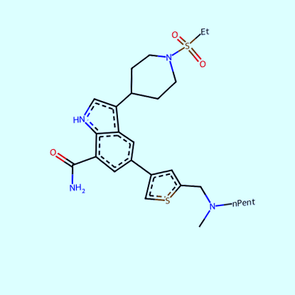 CCCCCN(C)Cc1cc(-c2cc(C(N)=O)c3[nH]cc(C4CCN(S(=O)(=O)CC)CC4)c3c2)cs1